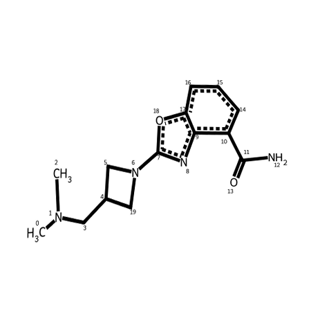 CN(C)CC1CN(c2nc3c(C(N)=O)[c]ccc3o2)C1